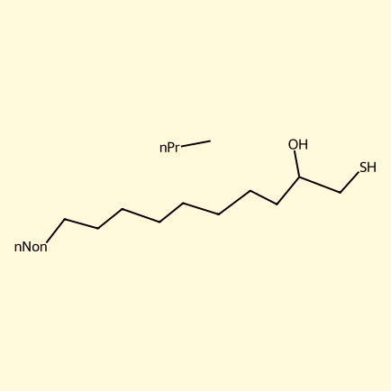 CCCC.CCCCCCCCCCCCCCCCCC(O)CS